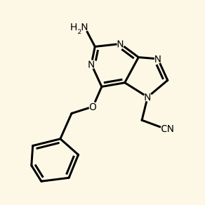 N#CCn1cnc2nc(N)nc(OCc3ccccc3)c21